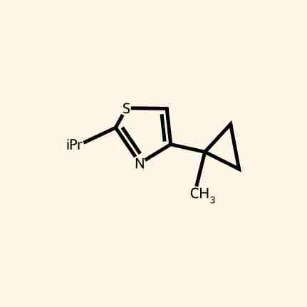 CC(C)c1nc(C2(C)CC2)cs1